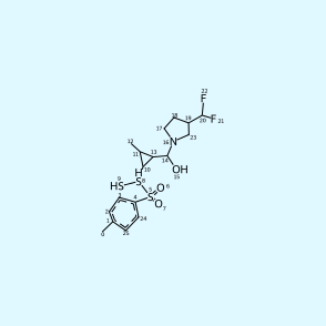 Cc1ccc(S(=O)(=O)[SH](S)C2C(C)C2C(O)N2CCC(C(F)F)C2)cc1